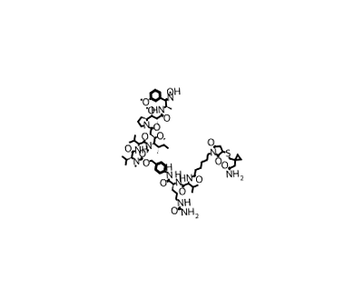 CC[C@H](C)[C@@H]([C@@H](CC(=O)N1CCC[C@H]1[C@H](OC)[C@@H](C)C(=O)N[C@H](C)/C(=N/O)c1cccc(OC)c1)OC)N(C)C(=O)[C@@H](NC(=O)[C@H](C(C)C)N(C)C(=O)OCc1ccc(NC(=O)[C@H](CCCNC(N)=O)NC(=O)[C@@H](NC(=O)CCCCCN2C(=O)CC(SCC3(CC(N)=O)CC3)C2=O)C(C)C)cc1)C(C)C